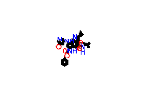 COc1cncc(N[C@@H]2C[C@@H](NC(=O)OCc3ccccc3)c3cc(S(=O)(=O)NCC(C)C)c4cc(C5CC5)ncc4c32)c1